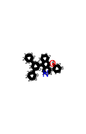 c1ccc(Oc2c3ccccc3c(-c3cc(-c4ccccc4)cc(-c4ccccc4)c3)c3cnccc23)cc1